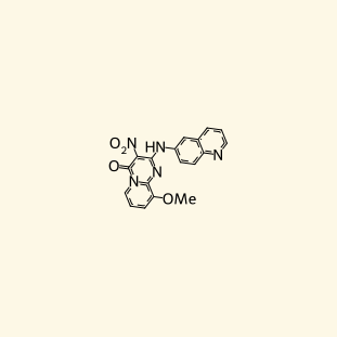 COc1cccn2c(=O)c([N+](=O)[O-])c(Nc3ccc4ncccc4c3)nc12